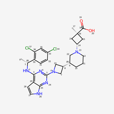 C[C@@H](Nc1nc(N2CC([C@H]3CCCN([C@H]4C[C@](C)(C(=O)O)C4)C3)C2)nc2[nH]ccc12)c1ccc(Cl)cc1Cl